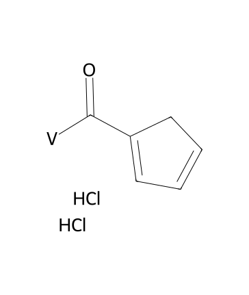 Cl.Cl.O=[C]([V])C1=CC=CC1